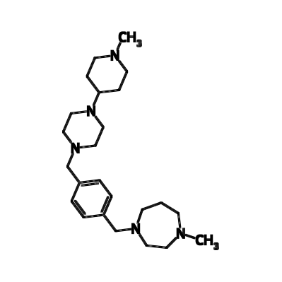 CN1CCC(N2CCN(Cc3ccc(CN4CCCN(C)CC4)cc3)CC2)CC1